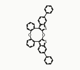 c1ccc(-c2ccc3c4c(sc3c2)Oc2sc3cc(-c5ccccc5)ccc3c2-c2ccccc2Oc2ccccc2-4)cc1